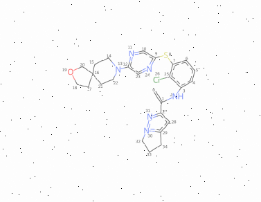 C=C(Nc1cccc(Sc2cnc(N3CCC4(CCOC4)CC3)cn2)c1Cl)c1cc2n(n1)CCC2